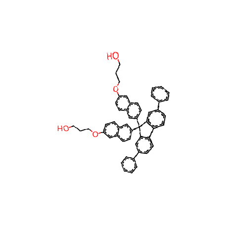 OCCCOc1ccc2cc(C3(c4ccc5cc(OCCCO)ccc5c4)c4cc(-c5ccccc5)ccc4-c4ccc(-c5ccccc5)cc43)ccc2c1